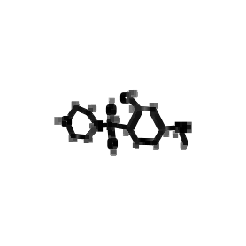 CNc1ccc(S(=O)(=O)N2CCOCC2)c(Cl)c1